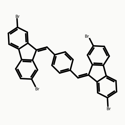 Brc1ccc2c(c1)C(=Cc1ccc(C=C3c4cc(Br)ccc4-c4ccc(Br)cc43)cc1)c1cc(Br)ccc1-2